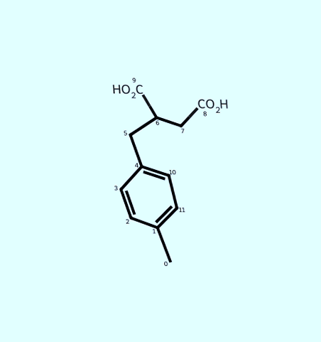 Cc1ccc(CC(CC(=O)O)C(=O)O)cc1